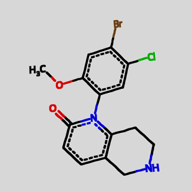 COc1cc(Br)c(Cl)cc1-n1c2c(ccc1=O)CNCC2